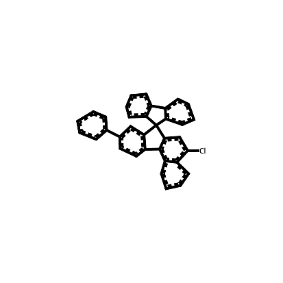 Clc1cc2c(c3ccccc13)-c1ccc(-c3ccccc3)cc1C21c2ccccc2-c2ccccc21